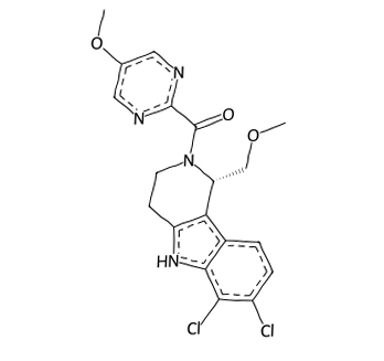 COC[C@@H]1c2c([nH]c3c(Cl)c(Cl)ccc23)CCN1C(=O)c1ncc(OC)cn1